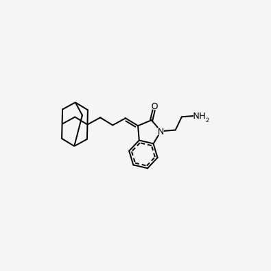 NCCN1C(=O)/C(=C/CCC23CC4CC(CC(C4)C2)C3)c2ccccc21